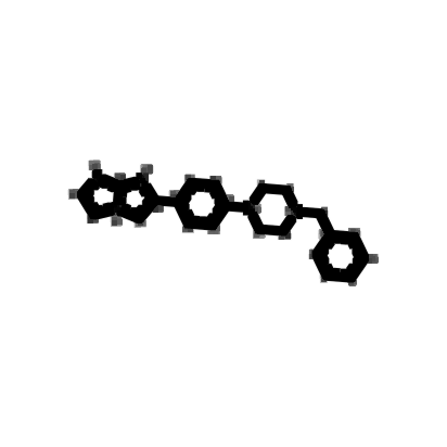 c1ccc(CN2CCN(c3ccc(-c4cn5ccsc5n4)cc3)CC2)cc1